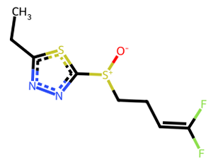 CCc1nnc([S+]([O-])CCC=C(F)F)s1